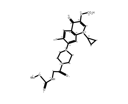 CC(C)(C)OC(=O)NCC(=O)N1CCN(c2cc3c(cc2F)c(=O)c(OC(=O)O)cn3C2CC2)CC1